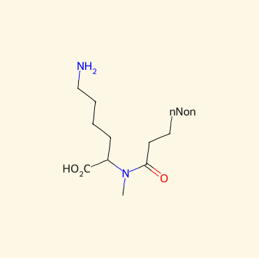 CCCCCCCCCCCC(=O)N(C)C(CCCCN)C(=O)O